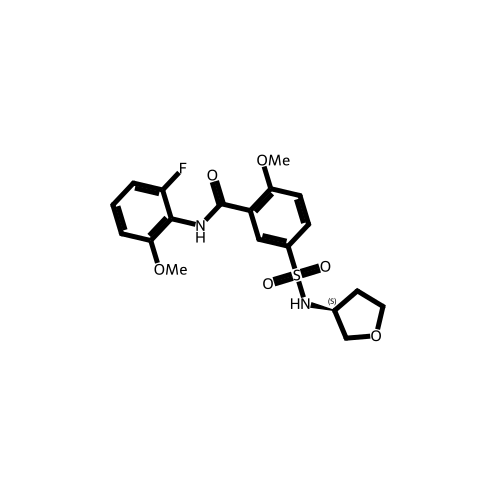 COc1ccc(S(=O)(=O)N[C@H]2CCOC2)cc1C(=O)Nc1c(F)cccc1OC